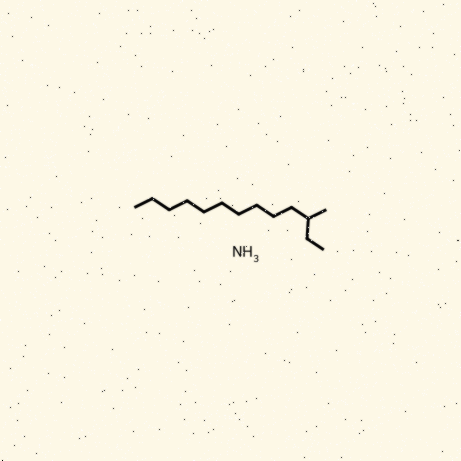 CCCCCCCCCCC(C)CC.N